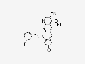 CCOc1c(C#N)cnc2ccc(/C=S3/CC(=O)N=C3NCCc3cccc(F)c3)cc12